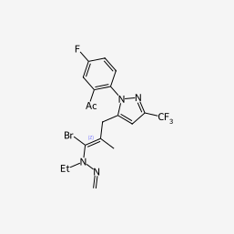 C=NN(CC)/C(Br)=C(\C)Cc1cc(C(F)(F)F)nn1-c1ccc(F)cc1C(C)=O